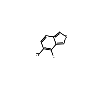 Fc1c(Cl)ccc2[c]scc12